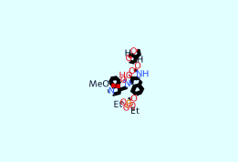 CCOP(=O)(COc1ccc(C[C@H](NC(=O)OC2CO[C@H]3OCC[C@@H]23)[C@H](O)CN(CC2CCN(C)CC2)Oc2ccc(OC)cc2)cc1)OCC